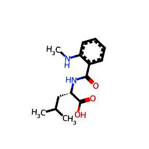 CNc1ccccc1C(=O)N[C@@H](CC(C)C)C(=O)O